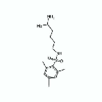 Cc1cc(C)c(S(=O)(=O)NCCCCC(N)S)c(C)c1